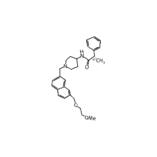 COCCOCc1ccc2ccc(CN3CCC(NC(=O)[C@@H](C)c4ccccc4)CC3)cc2c1